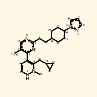 CN1NC=CC(c2nc(CCC3CCC(n4cccn4)CC3)ncc2Cl)=C1CC1CC1